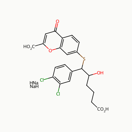 O=C(O)CCCC(O)C(Sc1ccc2c(=O)cc(C(=O)O)oc2c1)c1ccc(Cl)c(Cl)c1.[NaH].[NaH]